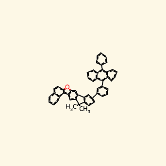 CC1(C)c2ccc(-c3cccc(-c4c5ccccc5c(-c5ccccc5)c5ccccc45)c3)cc2-c2cc3oc4ccc5ccccc5c4c3cc21